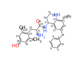 CCCc1cc(Cc2ccccc2)cc2c1NCCC2NC(=O)C(N)Cc1c(C)cc(O)cc1C